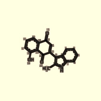 Cc1[nH]c2ccccc2c1C1=CC(=O)c2cccc(O)c2C1=O